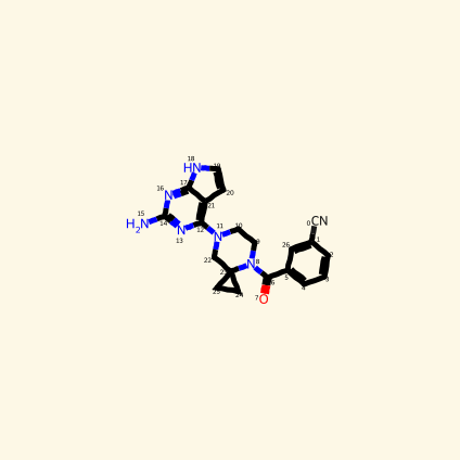 N#Cc1cccc(C(=O)N2CCN(c3nc(N)nc4[nH]ccc34)CC23CC3)c1